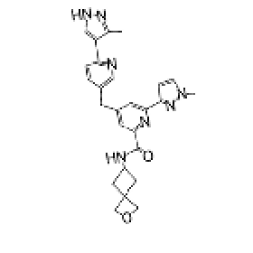 Cc1n[nH]cc1-c1ccc(Cc2cc(C(=O)NC3CC4(COC4)C3)nc(-c3ccn(C)n3)c2)cn1